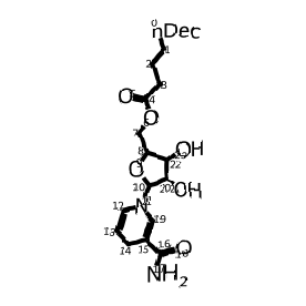 CCCCCCCCCCCCCC(=O)OCC1OC(N2C=CCC(C(N)=O)=C2)[C@H](O)C1O